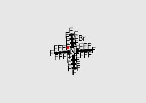 FC(F)(F)C(F)(F)C(F)(F)C(F)(F)[N+](C(F)(F)C(F)(F)C(F)(F)C(F)(F)F)(C(F)(F)C(F)(F)C(F)(F)C(F)(F)F)C(F)(F)C(F)(F)C(F)(F)C(F)(F)F.[Br-]